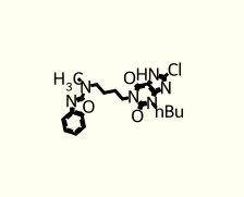 CCCCn1c(=O)n(CCCCN(C)c2nc3ccccc3o2)c(=O)c2[nH]c(Cl)nc21